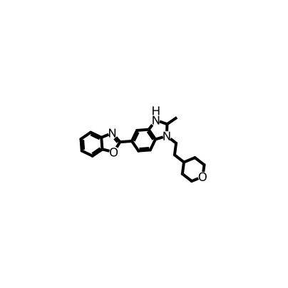 CC1Nc2cc(-c3nc4ccccc4o3)ccc2N1CCC1CCOCC1